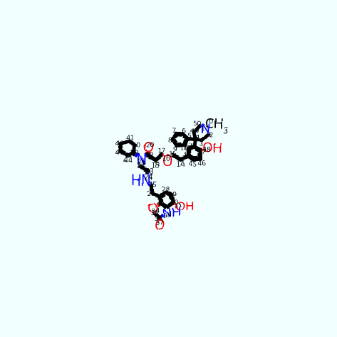 CN1CCC(c2ccccc2)(c2cc(CCOCCC(=O)N(CCNCCc3ccc(O)c4c3OCC(=O)N4)C3CCCCC3)ccc2O)CC1